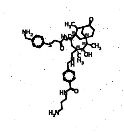 CC1C2C[C@@]3(CCC2=O)C[C@]1(C)[C@H](OC(=O)CSc1ccc(CN)cc1)C[C@](C)(CNCc1ccc(C(=O)NCCCN)cc1)[C@@H](O)[C@@H]3C